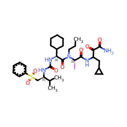 CCCN(C(=O)[C@@H](NC(=O)N[C@H](CS(=O)(=O)c1ccccc1)C(C)C)C1CCCCC1)[C@@H](I)C(=O)NC(CC1CC1)C(=O)C(N)=O